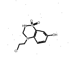 O=S1(=O)NCN(CCCl)c2ccc(O)cc21